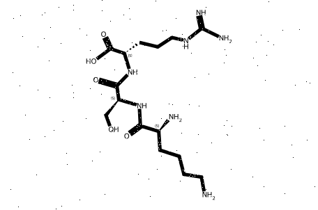 N=C(N)NCCC[C@H](NC(=O)[C@H](CO)NC(=O)[C@@H](N)CCCCN)C(=O)O